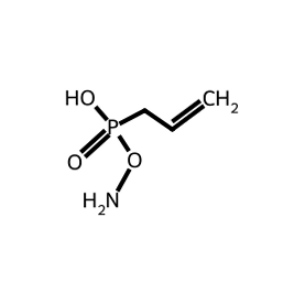 C=CCP(=O)(O)ON